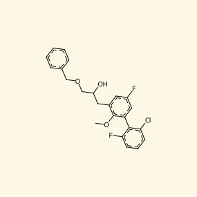 COc1c(CC(O)COCc2ccccc2)cc(F)cc1-c1c(F)cccc1Cl